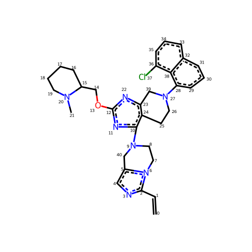 C=Cc1ncc2n1CCN(c1nc(OCC3CCCCN3C)nc3c1CCN(c1cccc4cccc(Cl)c14)C3)C2